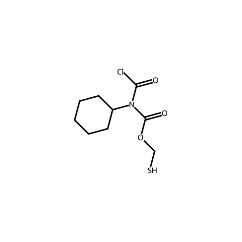 O=C(Cl)N(C(=O)OCS)C1CCCCC1